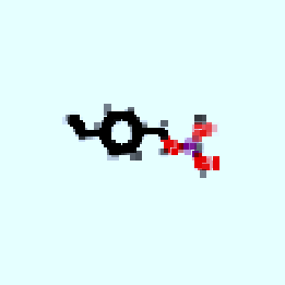 C=Cc1ccc(COP(O)O)cc1